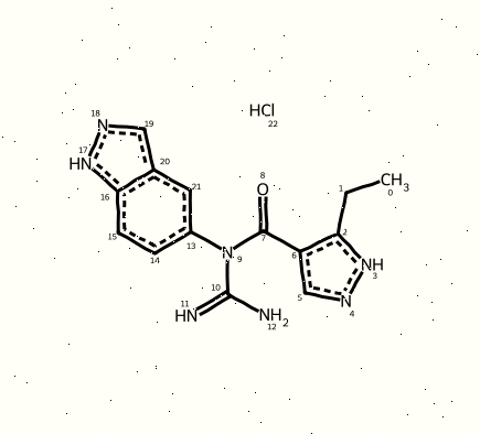 CCc1[nH]ncc1C(=O)N(C(=N)N)c1ccc2[nH]ncc2c1.Cl